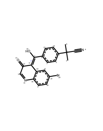 CC(C)(C#N)c1ccc(/C(O)=C2/C(=O)C=Nc3ccc(Br)cc32)cc1